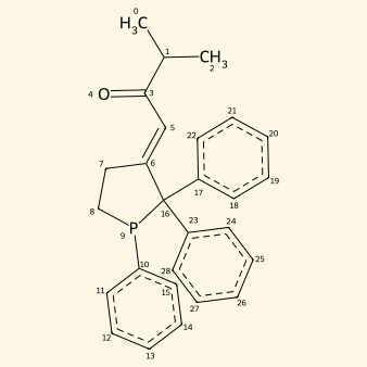 CC(C)C(=O)C=C1CCP(c2ccccc2)C1(c1ccccc1)c1ccccc1